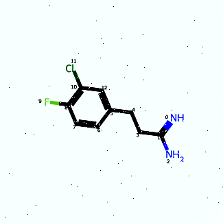 N=C(N)CCc1ccc(F)c(Cl)c1